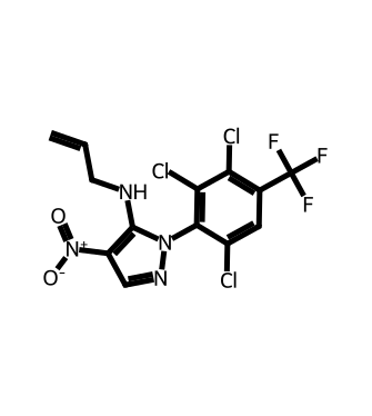 C=CCNc1c([N+](=O)[O-])cnn1-c1c(Cl)cc(C(F)(F)F)c(Cl)c1Cl